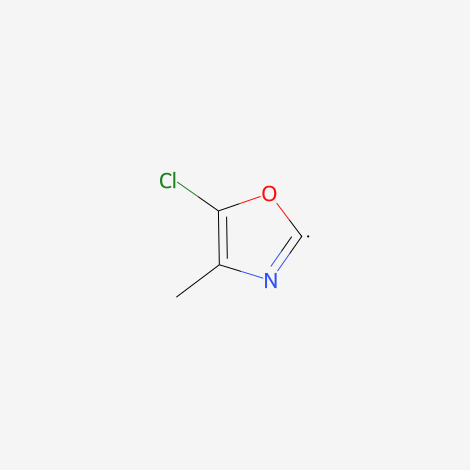 Cc1n[c]oc1Cl